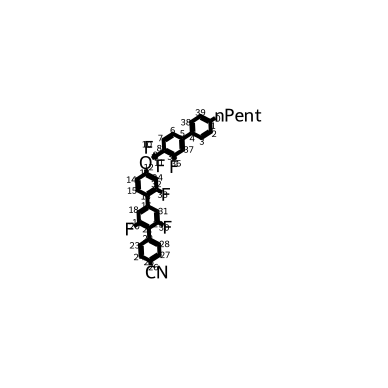 CCCCCc1ccc(-c2ccc(C(F)(F)Oc3ccc(-c4cc(F)c(-c5ccc(C#N)cc5)c(F)c4)c(F)c3)c(F)c2)cc1